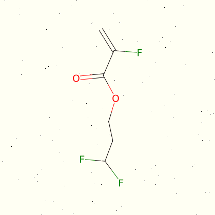 C=C(F)C(=O)OCCC(F)F